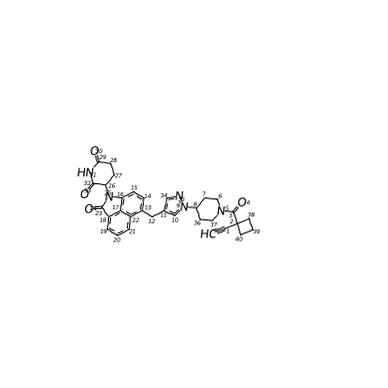 C#CC1(C(=O)N2CCC(n3cc(Cc4ccc5c6c(cccc46)C(=O)N5C4CCC(=O)NC4=O)cn3)CC2)CCC1